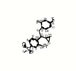 CC(C)c1cc(S(C)(=O)=O)ccc1[C](Cc1ccc(F)cc1F)C1CC1